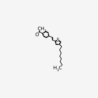 CCCCCCCCc1csc(C=Cc2ccc(C(C)=O)cc2)c1